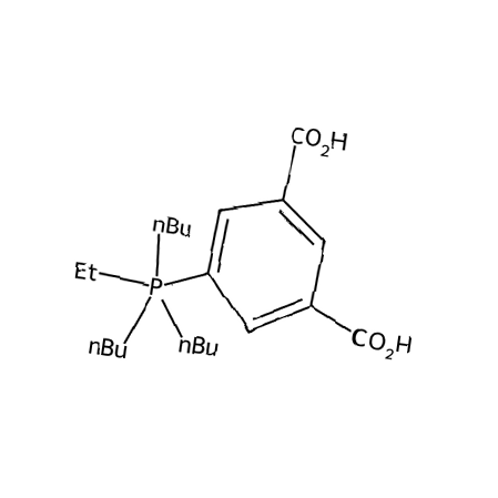 CCCCP(CC)(CCCC)(CCCC)c1cc(C(=O)O)cc(C(=O)O)c1